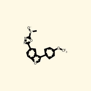 C[S+]([O-])c1nnc(-c2ccc3occ(-c4ccc(OC(F)(F)F)cc4)c3c2)o1